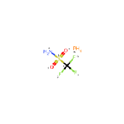 NS(=O)(=O)C(F)(F)F.P